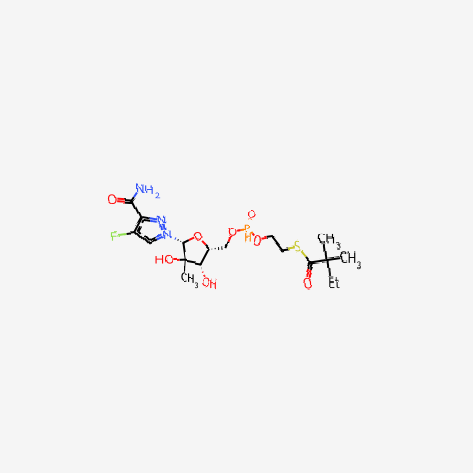 CCC(C)(C)C(=O)SCCO[PH](=O)OC[C@H]1O[C@@H](n2cc(F)c(C(N)=O)n2)C(C)(O)[C@H]1O